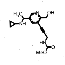 COC(=O)NCC#Cc1cc(C(C)NC2CC2)cnc1CO